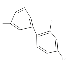 Brc1ccc(-c2cccc(I)c2)c(Br)c1